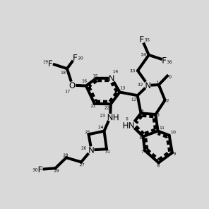 CC1Cc2c([nH]c3ccccc23)C(c2ncc(OC(F)F)cc2NC2CN(CCCF)C2)N1CC(F)F